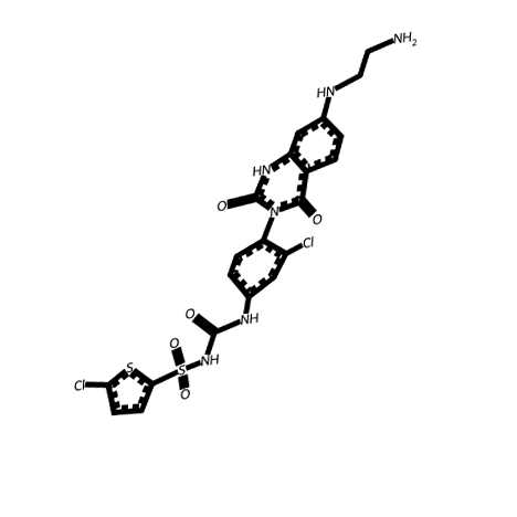 NCCNc1ccc2c(=O)n(-c3ccc(NC(=O)NS(=O)(=O)c4ccc(Cl)s4)cc3Cl)c(=O)[nH]c2c1